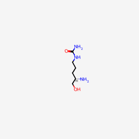 NC(=O)NCCC[C@H](N)CO